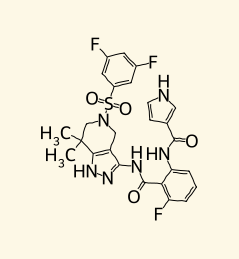 CC1(C)CN(S(=O)(=O)c2cc(F)cc(F)c2)Cc2c(NC(=O)c3c(F)cccc3NC(=O)c3cc[nH]c3)n[nH]c21